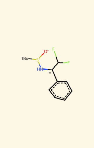 CC(C)(C)[S+]([O-])N[C@H](c1ccccc1)C(F)F